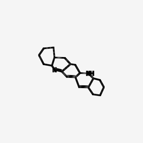 C1=C2C=C3CCCCC3NC2CC2CC3CCCCC3N=C12